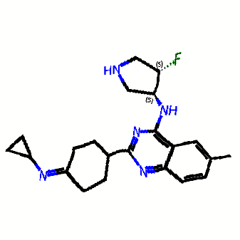 Cc1ccc2nc(C3CCC(=NC4CC4)CC3)nc(N[C@H]3CNC[C@@H]3F)c2c1